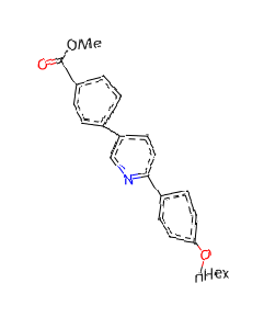 CCCCCCOc1ccc(-c2ccc(-c3ccc(C(=O)OC)cc3)cn2)cc1